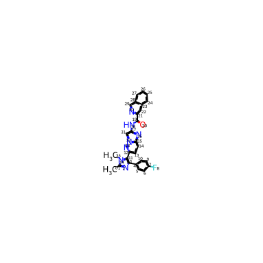 Cc1nc(-c2ccc(F)cc2)c(-c2ccc3nc(NC(=O)c4cc5ccccc5cn4)cn3n2)n1C